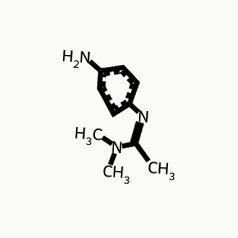 CC(=Nc1ccc(N)cc1)N(C)C